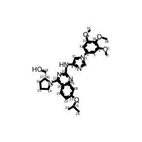 COc1cc(-n2cnc(Nc3nc(N4CCC[C@@H]4CO)c4ccc(OC(C)C)cc4n3)c2)cc(OC)c1OC